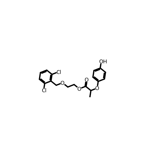 CC(Oc1ccc(O)cc1)C(=O)OCCOCc1c(Cl)cccc1Cl